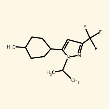 CC1CCC(c2cc(C(F)(F)F)nn2C(C)C)CC1